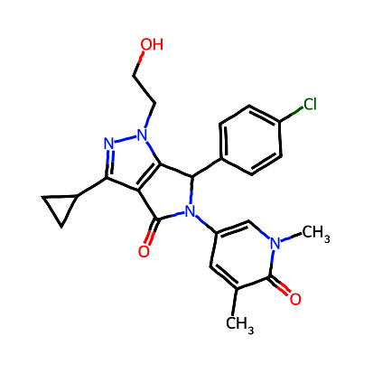 Cc1cc(N2C(=O)c3c(C4CC4)nn(CCO)c3C2c2ccc(Cl)cc2)cn(C)c1=O